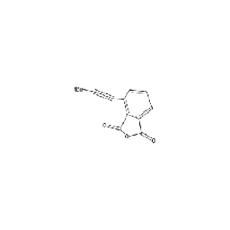 CC(C)(C)C#Cc1cccc2c1C(=O)OC2=O